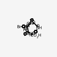 O=C1CCC(=O)NC(Cc2ccccc2)C(=O)N[C@@H](Cc2ccc(Br)cc2)C(=O)N[C@H](Cc2ccccc2)C(=O)N[C@@H](C(=O)O)Cc2ccc(cc2)N1